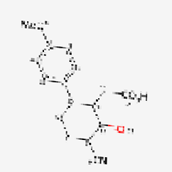 COc1ccc(C2CCC(C#N)C(=O)C2CC(=O)O)cc1